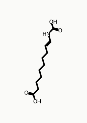 O=C(O)CCCCCCCC=CNC(=O)O